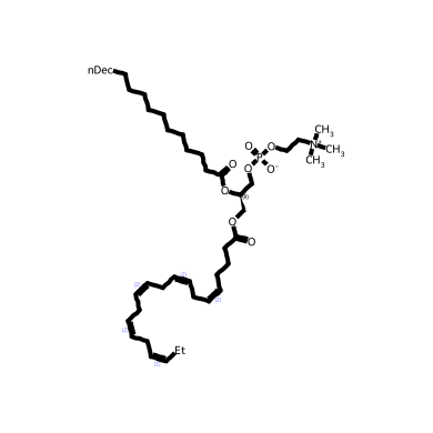 CC/C=C\C/C=C\C/C=C\C/C=C\C/C=C\CCCC(=O)OC[C@H](COP(=O)([O-])OCC[N+](C)(C)C)OC(=O)CCCCCCCCCCCCCCCCCCCC